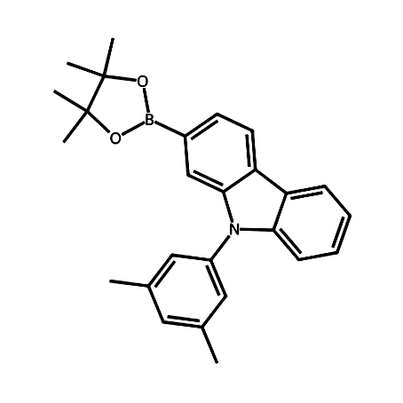 Cc1cc(C)cc(-n2c3ccccc3c3ccc(B4OC(C)(C)C(C)(C)O4)cc32)c1